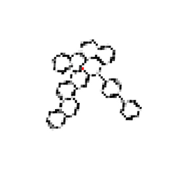 c1ccc(-c2ccc(N(c3ccc4ccc5c6ccccc6ccc5c4c3)c3cccc4ccc5c6ccccc6sc5c34)cc2)cc1